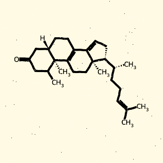 CC(C)=CCC[C@@H](C)[C@H]1CC=C2C3=C(CC[C@@]21C)[C@@]1(C)C(C)CC(=O)C[C@@H]1CC3